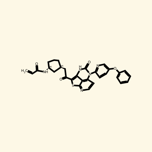 C=CC(=O)N[C@@H]1CCC[C@@H](CC(=O)c2sc3nccc4c3c2NC(=O)N4c2ccc(Oc3ccccc3)cn2)C1